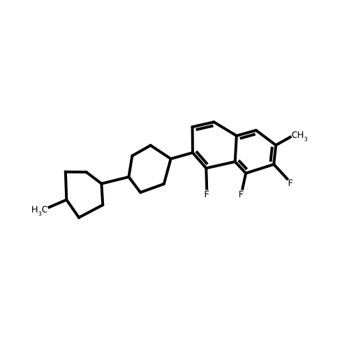 Cc1cc2ccc(C3CCC(C4CCC(C)CC4)CC3)c(F)c2c(F)c1F